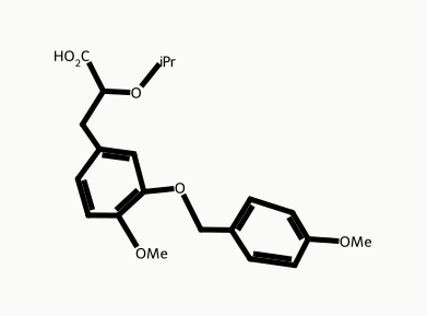 COc1ccc(COc2cc(CC(OC(C)C)C(=O)O)ccc2OC)cc1